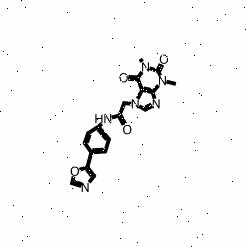 Cn1c(=O)c2c(ncn2CC(=O)Nc2ccc(-c3cnco3)cc2)n(C)c1=O